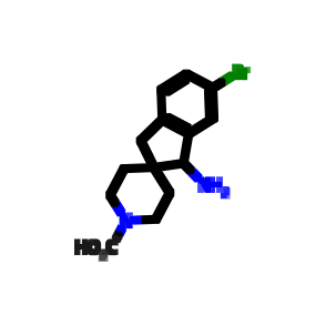 NC1c2cc(Br)ccc2CC12CCN(C(=O)O)CC2